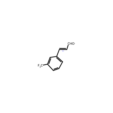 O=[C]/C=C/c1cccc(C(F)(F)F)c1